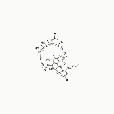 CCCCOc1cc(Br)cc2oc3c4c(=O)c5c(O)c(C)c6c(c5c-3nc12)C(=O)[C@@](C)(O/C=C/[C@H](OC)[C@@H](C)[C@@H](OC(C)=O)[C@H](C)[C@H](O)[C@H](C)[C@@H](O)[C@@H](C)/C=C/C=C(/C)C(=O)N4)O6